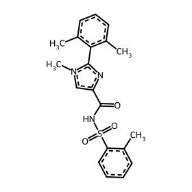 Cc1ccccc1S(=O)(=O)NC(=O)c1cn(C)c(-c2c(C)cccc2C)n1